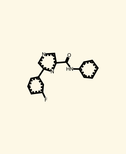 O=C(Nc1ccccc1)c1cncc(-c2cccc(F)c2)n1